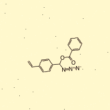 C=Cc1ccc(C(N=[N+]=[N-])OC(=O)c2ccccc2)cc1